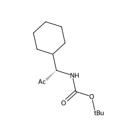 CC(=O)[C@@H](NC(=O)OC(C)(C)C)C1CCCCC1